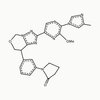 COc1nc(-c2nc3n(n2)COCC3c2cccc(N3CCCC3=O)c2)ccc1-n1cnc(C)c1